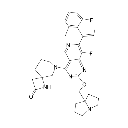 C/C=C(/c1ncc2c(N3CCCC4(CC(=O)N4)C3)nc(OCC34CCCN3CCC4)nc2c1F)c1c(C)cccc1F